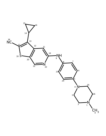 CN1CCN(c2ccc(Nc3cc4c(C5CC5)c(C#N)sc4cn3)cc2)CC1